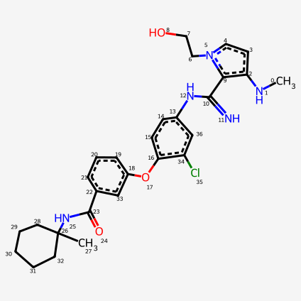 CNc1ccn(CCO)c1C(=N)Nc1ccc(Oc2cccc(C(=O)NC3(C)CCCCC3)c2)c(Cl)c1